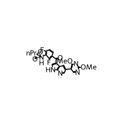 CCCS(=O)(=O)Nc1c(F)ccc(C(=O)c2c[nH]c3ncc(-c4cnc(OC)nc4OC)cc23)c1F